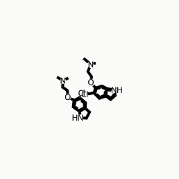 CN(C)CCOc1cc2[nH]ccc2cc1Cl.CN(C)CCOc1cc2c(cc1Cl)CCN2